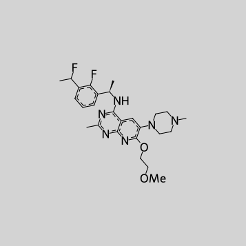 COCCOc1nc2nc(C)nc(N[C@H](C)c3cccc(C(C)F)c3F)c2cc1N1CCN(C)CC1